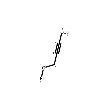 [CH2]COCC#CC(=O)O